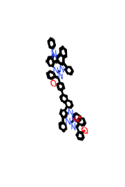 c1ccc(-n2c3ccccc3c3c2c2ccccc2c2c4ccccc4n(-c4nc5c6c(cccc6n4)Oc4cc(-c6ccc7c(ccc8c7c7ccc9c%10ccccc%10n(-c%10nc%11c%12c(cccc%12n%10)Oc%10ccccc%10-%11)c9c7n8-c7ccccc7)c6)ccc4-5)c23)cc1